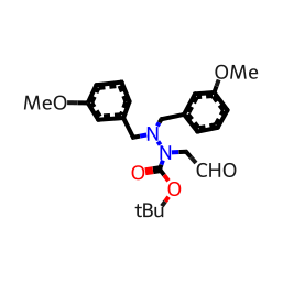 COc1cccc(CN(Cc2cccc(OC)c2)N(CC=O)C(=O)OC(C)(C)C)c1